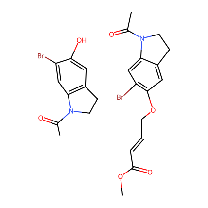 CC(=O)N1CCc2cc(O)c(Br)cc21.COC(=O)C=CCOc1cc2c(cc1Br)N(C(C)=O)CC2